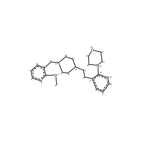 COc1ncccc1CN1CCC(CCc2cccnc2N2CCOCC2)CC1